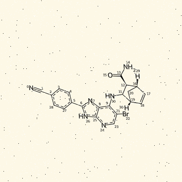 N#Cc1ccc(-c2nc3c(NC4[C@@H](C(N)=O)[C@@H]5C=C[C@H]4C5)c(Br)cnc3[nH]2)cc1